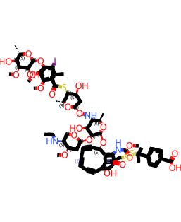 CCN[C@H]1CO[C@@H](O[C@H]2[C@H](O[C@H]3C#C/C=C\C#C[C@]4(O)CC(=O)C(NC(=O)OC)=C3/C4=C\CSSC(C)(C)c3ccc(C(=O)O)cc3)O[C@H](C)[C@@H](NO[C@H]3C[C@H](O)[C@H](SC(=O)c4c(C)c(I)c(O[C@@H]5O[C@@H](C)[C@H](O)[C@@H](OC)[C@H]5O)c(OC)c4OC)[C@@H](C)O3)[C@@H]2O)C[C@@H]1OC